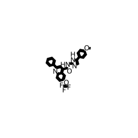 COc1ccc(-c2cnc(NC(=O)c3cc(-c4ccccc4)nc4ccc(OC(F)(F)F)cc34)[nH]2)cc1